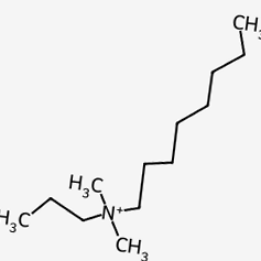 CCCCCCCC[N+](C)(C)CCC